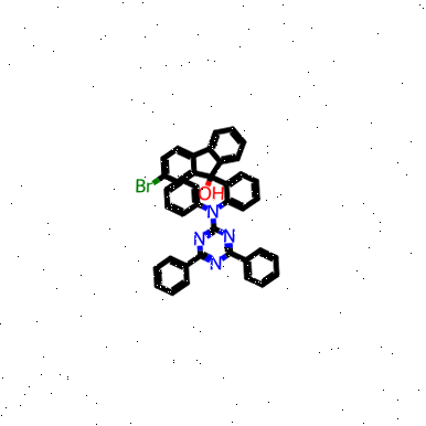 OC1(c2ccccc2N(c2ccccc2)c2nc(-c3ccccc3)nc(-c3ccccc3)n2)c2ccccc2-c2ccc(Br)cc21